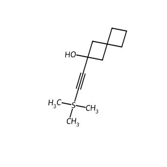 CS(C)(C)C#CC1(O)CC2(CCC2)C1